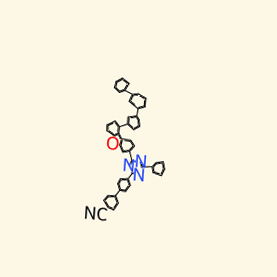 N#Cc1ccc(-c2ccc(-c3nc(-c4ccccc4)nc(-c4ccc5c(c4)oc4cccc(-c6cccc(-c7cccc(-c8ccccc8)c7)c6)c45)n3)cc2)cc1